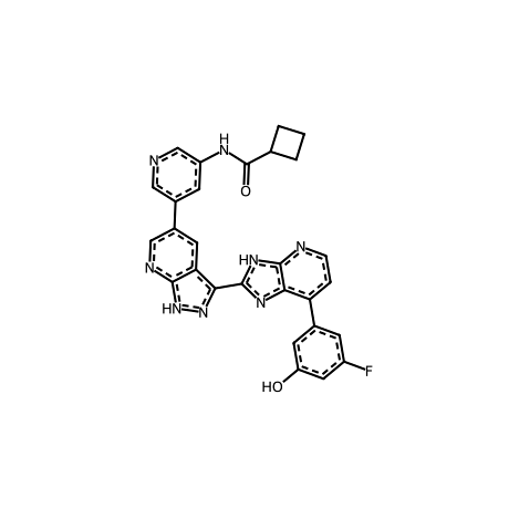 O=C(Nc1cncc(-c2cnc3[nH]nc(-c4nc5c(-c6cc(O)cc(F)c6)ccnc5[nH]4)c3c2)c1)C1CCC1